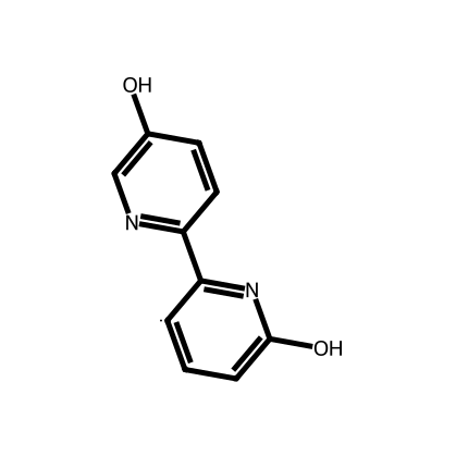 Oc1ccc(-c2[c]ccc(O)n2)nc1